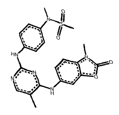 Cc1cnc(Nc2ccc(N(C)S(C)(=O)=O)cc2)nc1Nc1ccc2c(c1)oc(=O)n2C